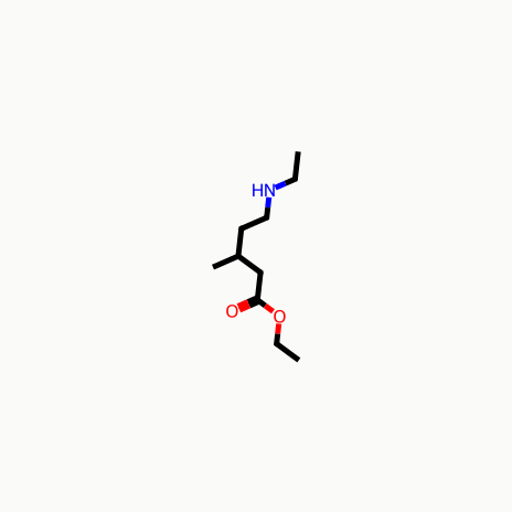 CCNCCC(C)CC(=O)OCC